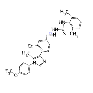 CCc1cc(/C=N/NC(=S)Nc2c(C)cccc2C)ccc1-c1ncn(-c2ccc(OC(F)(F)F)cc2)c1C